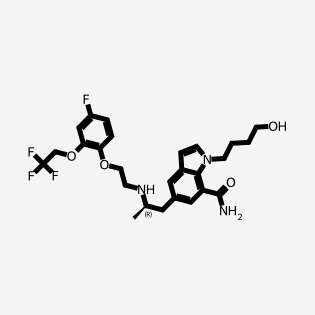 C[C@H](Cc1cc(C(N)=O)c2c(ccn2CCCCO)c1)NCCOc1ccc(F)cc1OCC(F)(F)F